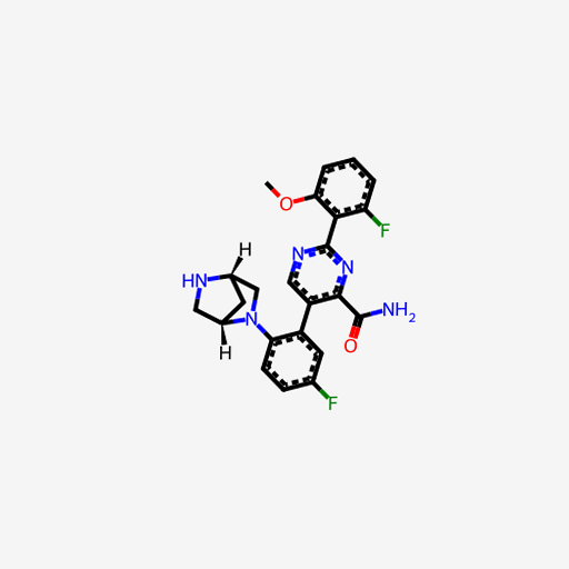 COc1cccc(F)c1-c1ncc(-c2cc(F)ccc2N2C[C@@H]3C[C@H]2CN3)c(C(N)=O)n1